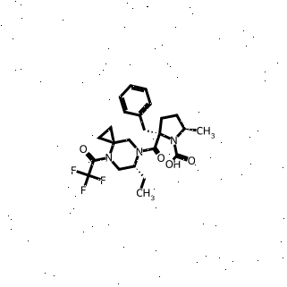 CC[C@@H]1CN(C(=O)C(F)(F)F)C2(CC2)CN1C(=O)[C@@]1(Cc2ccccc2)CC[C@@H](C)N1C(=O)O